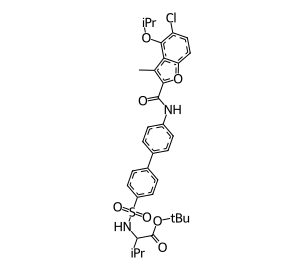 Cc1c(C(=O)Nc2ccc(-c3ccc(S(=O)(=O)NC(C(=O)OC(C)(C)C)C(C)C)cc3)cc2)oc2ccc(Cl)c(OC(C)C)c12